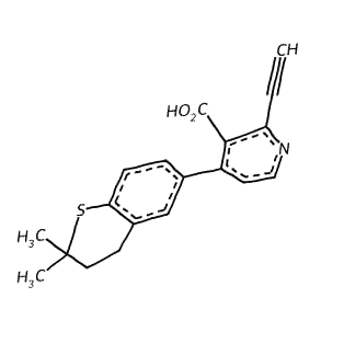 C#Cc1nccc(-c2ccc3c(c2)CCC(C)(C)S3)c1C(=O)O